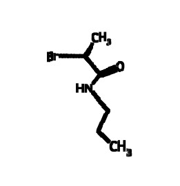 CCCNC(=O)C(C)Br